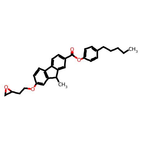 CCCCCc1ccc(OC(=O)c2ccc3c(c2)C(C)c2cc(OCCC4CO4)ccc2-3)cc1